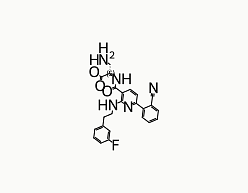 N#Cc1ccccc1-c1ccc(C(=O)N[C@@H](CN)C(=O)O)c(NCCc2cccc(F)c2)n1